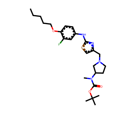 CCCCCOc1ccc(Nc2nc(CN3CCC(N(C)C(=O)OC(C)(C)C)C3)cs2)cc1F